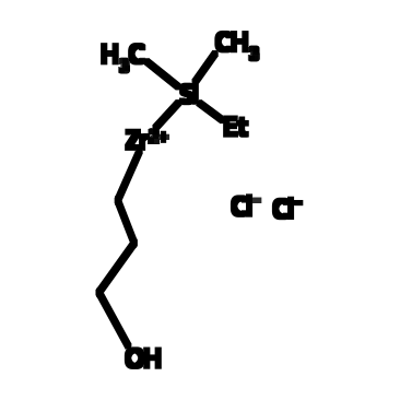 CC[Si](C)(C)[Zr+2][CH2]CCO.[Cl-].[Cl-]